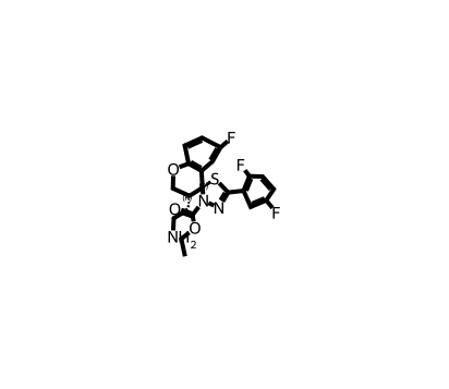 CCOC(=O)N1N=C(c2cc(F)ccc2F)S[C@@]12c1cc(F)ccc1OC[C@H]2CCN